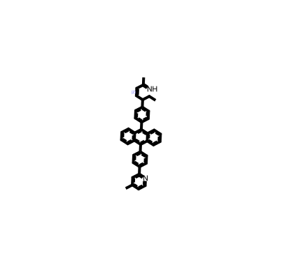 CCC(/C=C\C(C)=N)c1ccc(-c2c3ccccc3c(-c3ccc(-c4cc(C)ccn4)cc3)c3ccccc23)cc1